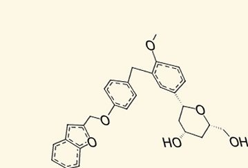 COc1ccc([C@H]2C[C@@H](O)C[C@@H](CO)O2)cc1Cc1ccc(OCc2cc3ccccc3o2)cc1